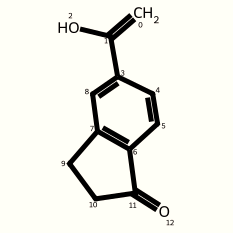 C=C(O)c1ccc2c(c1)CCC2=O